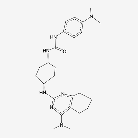 CN(C)c1ccc(NC(=O)N[C@H]2CC[C@@H](Nc3nc4c(c(N(C)C)n3)CCCC4)CC2)cc1